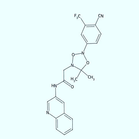 CC1(C)ON(c2ccc(C#N)c(C(F)(F)F)c2)ON1CC(=O)Nc1cnc2ccccc2c1